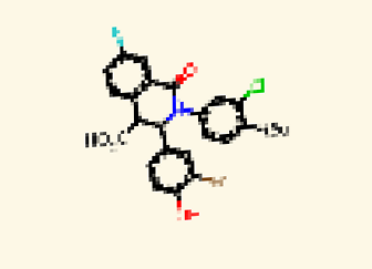 CC(C)(C)c1ccc(N2C(=O)c3cc(F)ccc3C(C(=O)O)C2c2ccc(O)c(Br)c2)cc1Cl